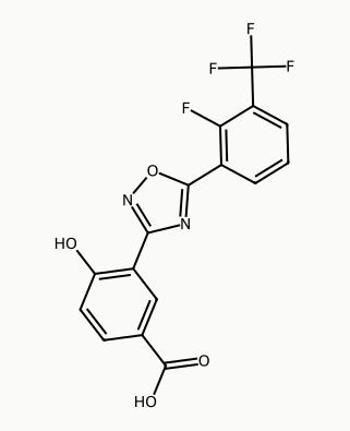 O=C(O)c1ccc(O)c(-c2noc(-c3cccc(C(F)(F)F)c3F)n2)c1